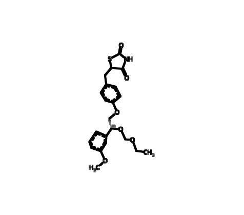 CCOCO[C@@H](COc1ccc(CC2SC(=O)NC2=O)cc1)c1cccc(OC)c1